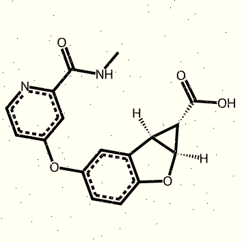 CNC(=O)c1cc(Oc2ccc3c(c2)[C@@H]2[C@H](O3)[C@H]2C(=O)O)ccn1